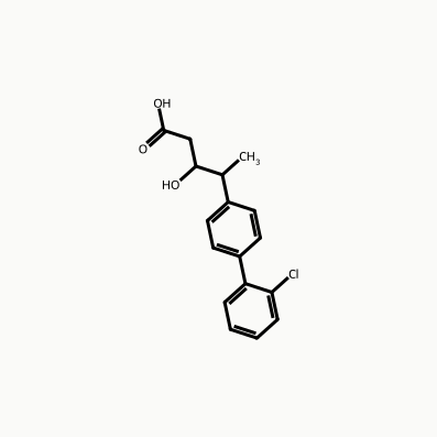 CC(c1ccc(-c2ccccc2Cl)cc1)C(O)CC(=O)O